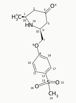 C[C@H]1CC(=O)C[C@@H](COc2ccc(S(C)(=O)=O)cc2)N1